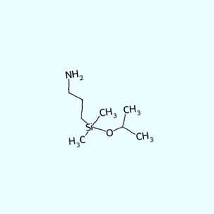 CC(C)O[Si](C)(C)CCCN